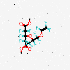 COC(=O)C(F)(F)C(F)(OC(F)(C(F)(F)F)C(F)(F)OC(F)=C(F)F)C(F)(F)C(=O)OC